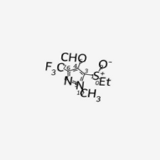 CC[S+]([O-])c1c(C=O)c(C(F)(F)F)nn1C